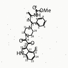 C=C(/N=C(\c1ccccc1)N1CCN(C(=O)C(=O)c2c[nH]c3cccc(F)c23)CC1)NC(=O)OC